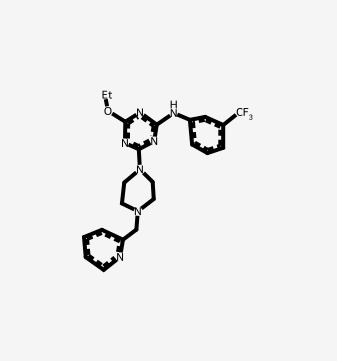 CCOc1nc(Nc2cccc(C(F)(F)F)c2)nc(N2CCN(Cc3ccccn3)CC2)n1